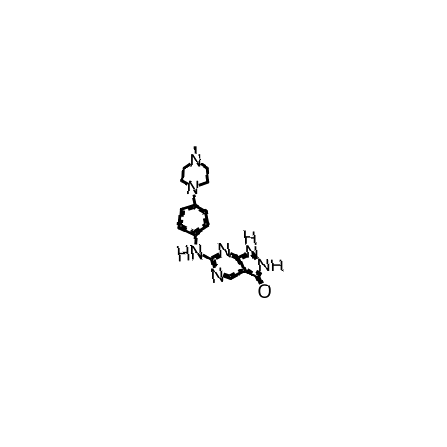 CN1CCN(c2ccc(Nc3ncc4c(=O)[nH][nH]c4n3)cc2)CC1